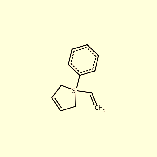 C=C[Si]1(c2ccccc2)CC=CC1